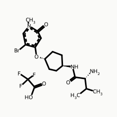 CC(C)[C@@H](N)C(=O)N[C@H]1CC[C@H](Oc2cc(=O)n(C)cc2Br)CC1.O=C(O)C(F)(F)F